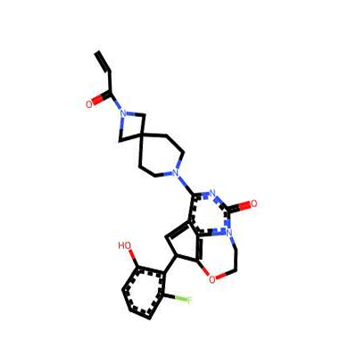 C=CC(=O)N1CC2(CCN(c3nc(=O)n4c5c3=CC(c3c(O)cccc3F)C=5OCC4)CC2)C1